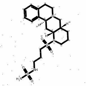 NS(=O)(=O)NCCCS(=O)(=O)N1CCC[C@H]2CN3CCc4ccccc4[C@@H]3C[C@H]21